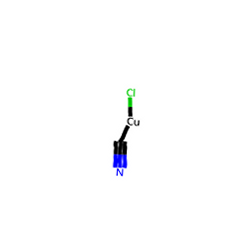 N#[C][Cu][Cl]